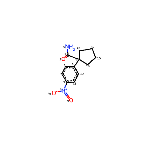 NC(=O)C1(c2ccc([N+](=O)[O-])cc2)CCCC1